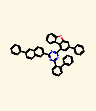 c1ccc(-c2ccc3cc(-c4nc(-c5ccccc5-c5ccccc5)nc(-c5cc(-c6ccccc6)cc6oc7ccccc7c56)n4)ccc3c2)cc1